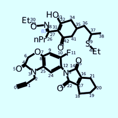 C#CCN1C(=O)COc2cc(F)c(N3C(=O)C4=C(CCCC4)C3=O)cc21.CCC/C(=N\OCC)C1=C(O)CC(CC(C)SCC)CC1=O